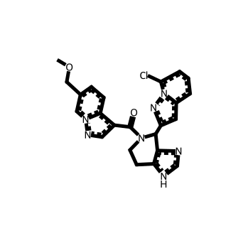 COCc1ccc2c(C(=O)N3CCc4[nH]cnc4C3c3cc4cccc(Cl)n4n3)cnn2c1